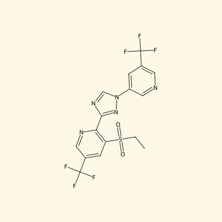 CCS(=O)(=O)c1cc(C(F)(F)F)cnc1-c1ncn(-c2cncc(C(F)(F)F)c2)n1